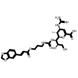 C[C@H]1[C@H]([C@H](OC(=O)NCCCOC(=O)/C=C/c2ccc3c(c2)OCO3)[C@H](O)CO)OC(C(=O)O)=C[C@@H]1NC(=N)N